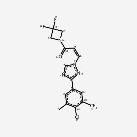 Cc1cc(-c2ncn(/C=C\C(=O)N3CC(F)(F)C3)n2)cc(C(F)(F)F)c1Cl